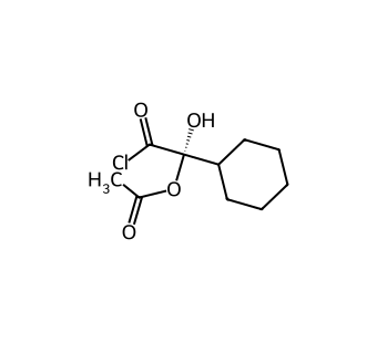 CC(=O)O[C@@](O)(C(=O)Cl)C1CCCCC1